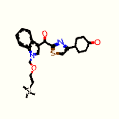 C[Si](C)(C)CCOCn1cc(C(=O)c2nc(C3CCC(=O)CC3)cs2)c2ccccc21